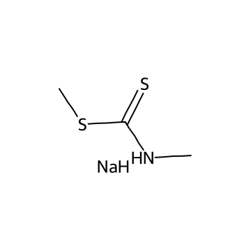 CNC(=S)SC.[NaH]